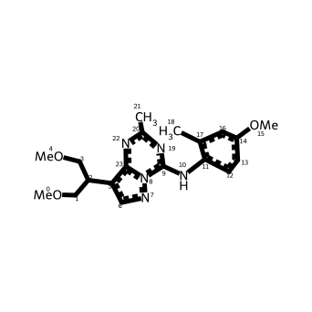 COCC(COC)c1cnn2c(Nc3ccc(OC)cc3C)nc(C)nc12